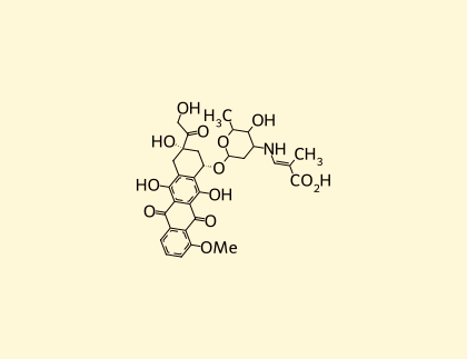 COc1cccc2c1C(=O)c1c(O)c3c(c(O)c1C2=O)C[C@@](O)(C(=O)CO)C[C@@H]3OC1CC(NC=C(C)C(=O)O)C(O)C(C)O1